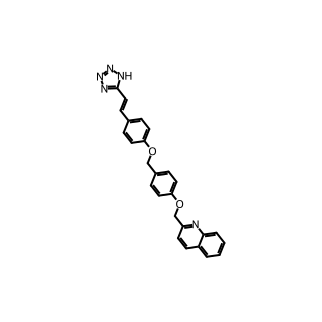 C(=Cc1nnn[nH]1)c1ccc(OCc2ccc(OCc3ccc4ccccc4n3)cc2)cc1